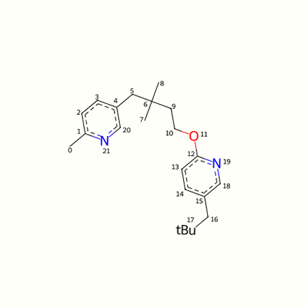 Cc1ccc(CC(C)(C)CCOc2ccc(CC(C)(C)C)cn2)cn1